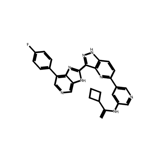 C=C(Nc1cncc(-c2ccc3[nH]nc(-c4nc5c(-c6ccc(F)cc6)cncc5[nH]4)c3n2)c1)C1CCC1